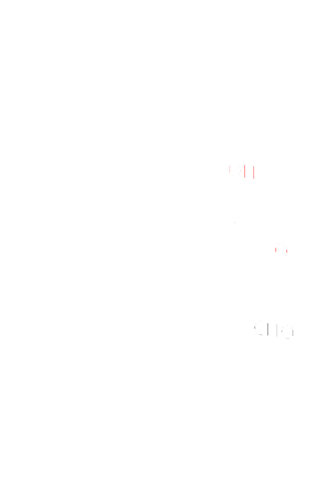 CCCCCC(=O)O.O=Cc1ccccc1